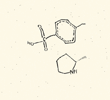 C[C@H]1CCCN1.Cc1ccc(S(=O)(=O)O)cc1